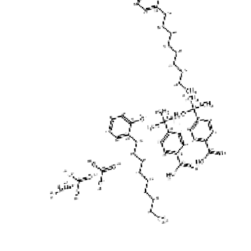 CC(C)(C)c1ccc(C(=O)O)cc1.CC(C)(C)c1ccc(C(=O)O)cc1.CCCCCCCCCc1ccccc1[O-].CCCCCCCCCc1ccccc1[O-].O=C([O-])[O-].O=C([O-])[O-].[Ba+2].[Ba+2].[Ba+2]